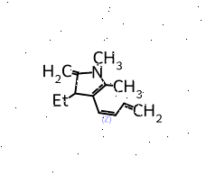 C=C/C=C\C1=C(C)N(C)C(=C)C1CC